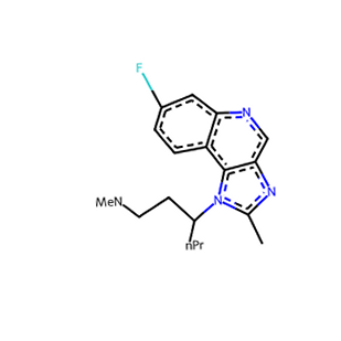 CCCC(CCNC)n1c(C)nc2cnc3cc(F)ccc3c21